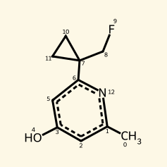 Cc1cc(O)cc(C2(CF)CC2)n1